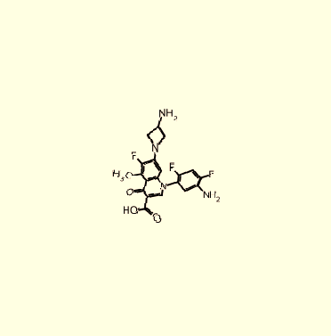 Cc1c(F)c(N2CC(N)C2)cc2c1c(=O)c(C(=O)O)cn2-c1cc(N)c(F)cc1F